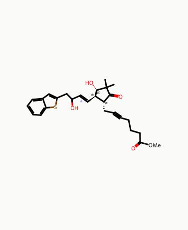 COC(=O)CCCC#CC[C@H]1C(=O)C(C)(C)[C@@H](O)[C@@H]1/C=C/C(O)Cc1cc2ccccc2s1